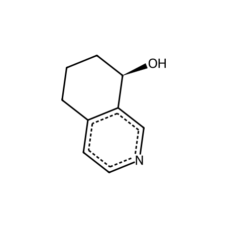 O[C@@H]1CCCc2ccncc21